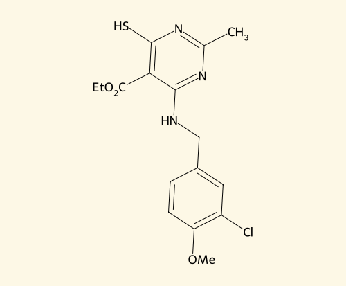 CCOC(=O)c1c(S)nc(C)nc1NCc1ccc(OC)c(Cl)c1